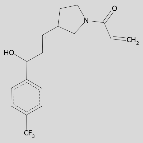 C=CC(=O)N1CCC(/C=C/C(O)c2ccc(C(F)(F)F)cc2)C1